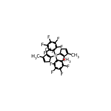 CC1=CC[C]([Ti]([C]2=C(C)C(C)=CC2)([c]2c(F)c(F)c(F)c(F)c2F)[c]2c(F)c(F)c(F)c(F)c2F)=C1C